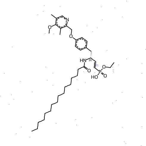 CCCCCCCCCCCCCCCC(=O)N[C@@H](/C=C/P(=O)(O)OCC)Cc1ccc(OCc2ncc(C)c(OC)c2C)cc1